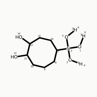 [3H]O[Si](O[3H])(O[3H])C1CCCC(O)C(O)CC1